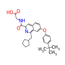 CC(C)(C)c1ccc(Oc2ccc3cc(C(=O)NCC(=O)O)nc(CC4CCCC4)c3c2)cc1